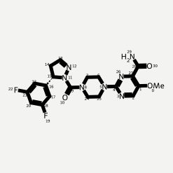 COc1cnc(N2CCN(C(=O)N3N=CC[C@H]3c3cc(F)cc(F)c3)CC2)nc1C(N)=O